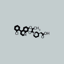 CC(Oc1ccc2c(-c3ccccc3Cl)ccnc2c1)C(=O)N1CCC[C@H](CC(=O)O)C1